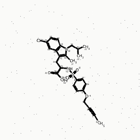 CC#CCOc1ccc(S(=O)(=O)NC(Cc2c(C)n(CC(C)C)c3ccc(Cl)cc23)C(=O)O)cc1